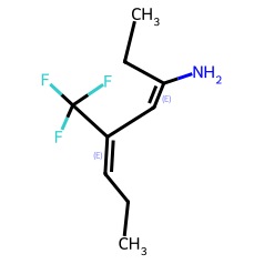 CC/C=C(\C=C(\N)CC)C(F)(F)F